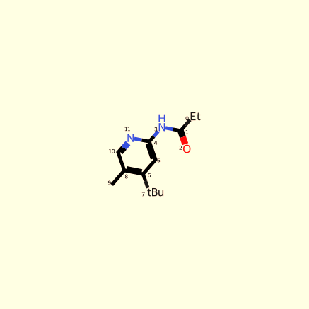 CCC(=O)Nc1cc(C(C)(C)C)c(C)cn1